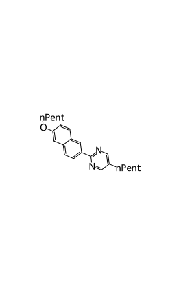 CCCCCOc1ccc2cc(-c3ncc(CCCCC)cn3)ccc2c1